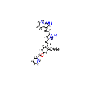 COc1cc(OCc2ccccn2)ccc1/C=C/c1cc(/C=C/c2c[nH]c3ncccc23)[nH]n1